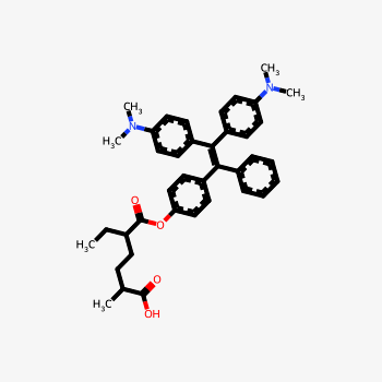 CCC(CCC(C)C(=O)O)C(=O)Oc1ccc(C(=C(c2ccc(N(C)C)cc2)c2ccc(N(C)C)cc2)c2ccccc2)cc1